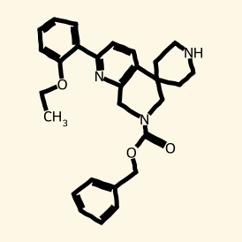 CCOc1ccccc1-c1ccc2c(n1)CN(C(=O)OCc1ccccc1)CC21CCNCC1